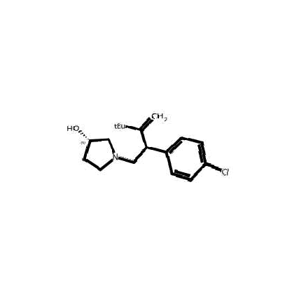 C=C(C(CN1CC[C@H](O)C1)c1ccc(Cl)cc1)C(C)(C)C